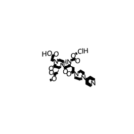 COC(=O)C[C@@H]1C(=O)N(CC(=O)O)CCN1C(=O)[C@H](CC(=O)N1CCN(c2ccncc2)CC1)NC(=O)OC.Cl